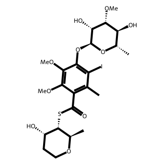 COc1c(O[C@@H]2O[C@@H](C)[C@H](O)[C@@H](OC)[C@H]2O)c(I)c(C)c(C(=O)S[C@H]2[C@@H](O)CCO[C@@H]2C)c1OC